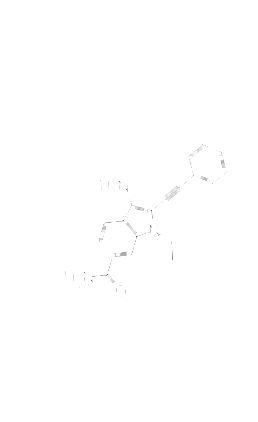 CCn1c(C#Cc2ccccc2)c(N)c2ccc(C(N)=O)cc21